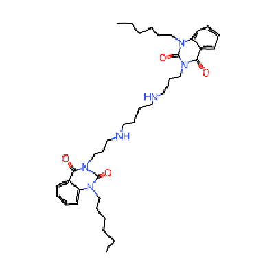 CCCCCCn1c(=O)n(CCCNCCCCNCCCn2c(=O)c3ccccc3n(CCCCCC)c2=O)c(=O)c2ccccc21